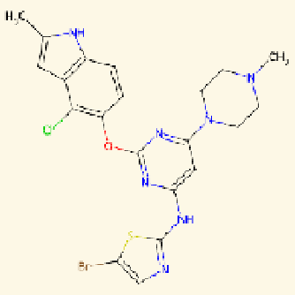 Cc1cc2c(Cl)c(Oc3nc(Nc4ncc(Br)s4)cc(N4CCN(C)CC4)n3)ccc2[nH]1